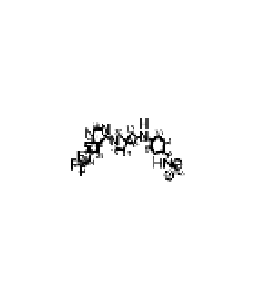 CS(=O)(=O)NCc1ccc(NC2CC3(CCN(c4ncnc5sc(CC(F)(F)F)cc45)C3)C2)cc1